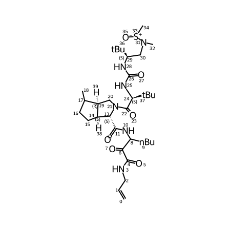 C=CCNC(=O)C(=O)C(CCCC)NC(=O)[C@@H]1[C@H]2CCC(C)[C@H]2CN1C(=O)[C@@H](NC(=O)N[C@H](CN(C)[S+](C)[O-])C(C)(C)C)C(C)(C)C